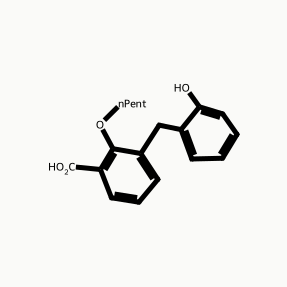 CCCCCOc1c(Cc2ccccc2O)cccc1C(=O)O